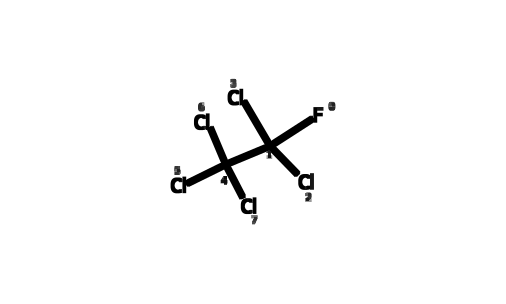 FC(Cl)(Cl)C(Cl)(Cl)Cl